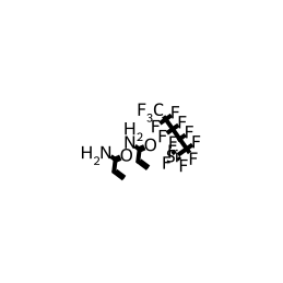 C=CC(N)=O.C=CC(N)=O.FC(F)(F)C(F)(F)C(F)(F)C(F)(F)C(F)(F)[Si](F)(F)F